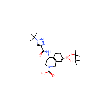 CC(C)(C)n1cc(C(=O)NC2CCN(C(=O)O)Cc3cc(B4OC(C)(C)C(C)(C)O4)ccc32)nn1